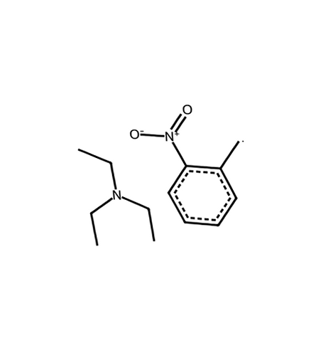 CCN(CC)CC.[CH2]c1ccccc1[N+](=O)[O-]